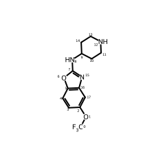 FC(F)(F)Oc1ccc2oc(NC3CCNCC3)nc2c1